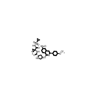 COc1ccc2c(O[C@H]3CN[C@H](C(=O)N[C@]4(C(=O)NS(=O)(=O)C5CC5)C[C@H]4I)C3)nc(-c3ccc(OC(F)(F)F)cc3)cc2c1